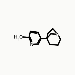 Cc1ccc(C23CCCN(CC2)C3)cn1